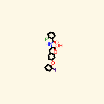 O=C(O)/C(=C\c1ccc(Oc2ccccc2I)cc1)NC(=O)c1ccccc1F